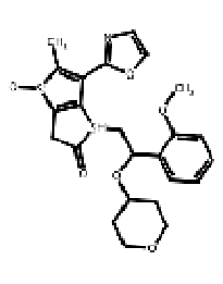 COc1ccccc1C(C[SH]1C(=O)Cc2c1c(-c1ncco1)c(C)[s+]2[O-])OC1CCOCC1